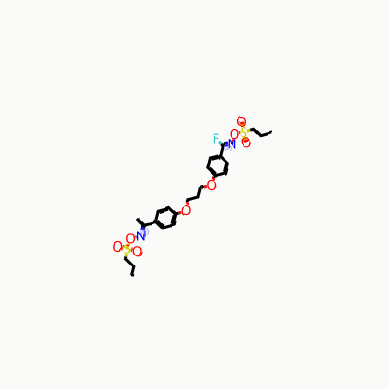 CCCS(=O)(=O)O/N=C(\F)c1ccc(OCCCOc2ccc(/C(C)=N/OS(=O)(=O)CCC)cc2)cc1